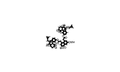 COc1cc(CC(=O)Oc2ccc3c4c2O[C@H]2C(=O)CC[C@@]5(O)[C@@H](C3)C(NCC3CC3)CC[C@]425)c2c(CC(=O)Oc3ccc4c5c3O[C@H]3C(=O)CC[C@@]6(O)[C@@H](C4)N(CC4CC4)CC[C@]536)cc(OC)cc2c1